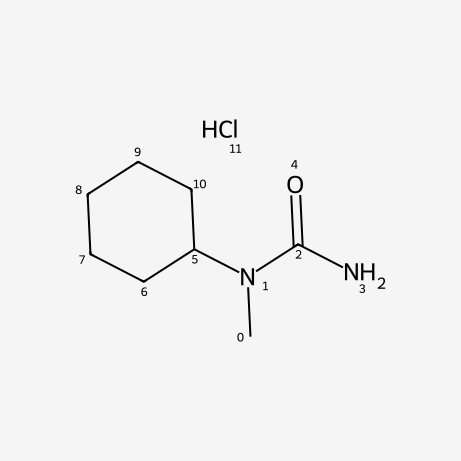 CN(C(N)=O)C1CCCCC1.Cl